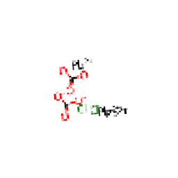 O=C([O-])[O-].O=C([O-])[O-].[Cl-].[Cl-].[Pb+2].[Pb+2].[Pb+2]